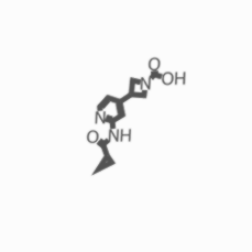 O=C(Nc1cc(C2CN(C(=O)O)C2)ccn1)C1CC1